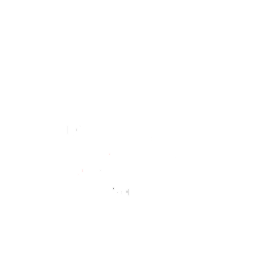 CCCCCCCCCC(=O)OC(C)c1ccccc1OCc1ccccc1